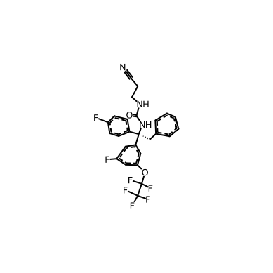 N#CCCNC(=O)N[C@](Cc1ccccc1)(c1ccc(F)cc1)c1cc(F)cc(OC(F)(F)C(F)(F)F)c1